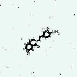 Nc1ccc(CCn2ccc3ccc(Cl)cc3c2=O)cc1N